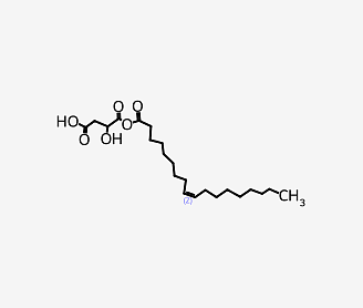 CCCCCCCC/C=C\CCCCCCCC(=O)OC(=O)C(O)CC(=O)O